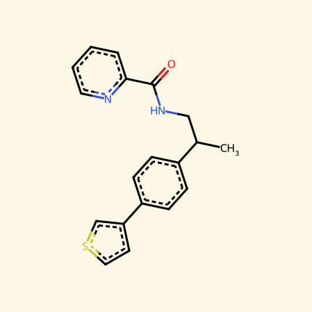 CC(CNC(=O)c1ccccn1)c1ccc(-c2ccsc2)cc1